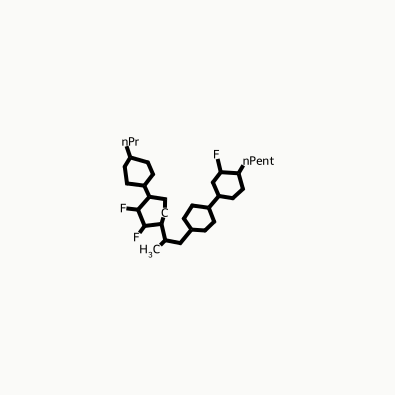 CCCCCC1CCC(C2CCC(CC(C)C3CCC(C4CCC(CCC)CC4)C(F)C3F)CC2)CC1F